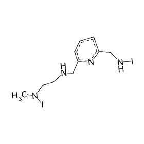 CN(I)CCNCc1cccc(CNI)n1